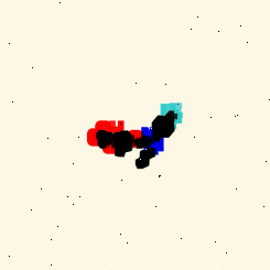 CCCCn1nc(-c2ccc(C(F)(F)F)cc2)nc1COc1ccc(OC(C)(C)C(=O)O)c(C)c1